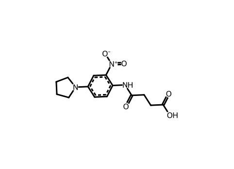 O=C(O)CCC(=O)Nc1ccc(N2CCCC2)cc1[N+](=O)[O-]